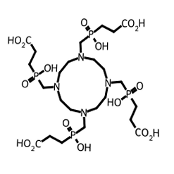 O=C(O)CCP(=O)(O)CN1CCN(CP(=O)(O)CCC(=O)O)CCN(CP(=O)(O)CCC(=O)O)CCN(CP(=O)(O)CCC(=O)O)CC1